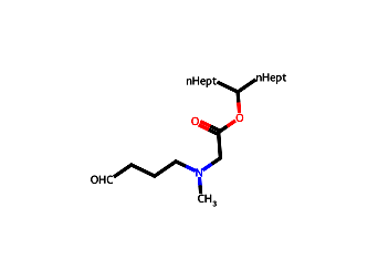 CCCCCCCC(CCCCCCC)OC(=O)CN(C)CCCC=O